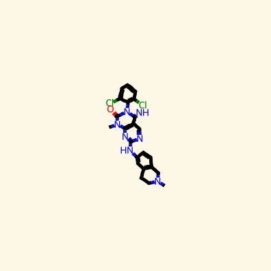 CN1CCc2cc(Nc3ncc4c(=N)n(-c5c(Cl)cccc5Cl)c(=O)n(C)c4n3)ccc2C1